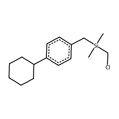 C[Si](C)(CCl)Cc1ccc(C2CCCCC2)cc1